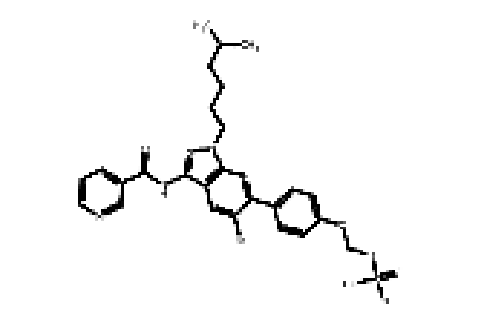 CC(C)CCCCn1nc(NC(=O)c2cccnc2)c2cc(Br)c(-c3ccc(OCOP(=O)(O)O)cc3)nc21